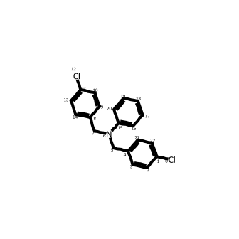 Clc1ccc(CN(Cc2ccc(Cl)cc2)c2ccccc2)cc1